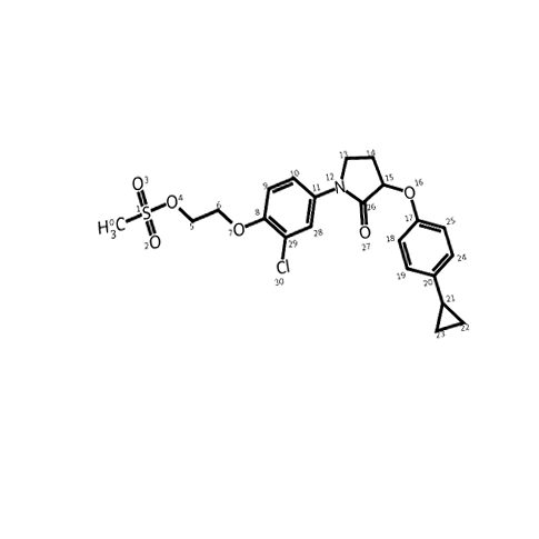 CS(=O)(=O)OCCOc1ccc(N2CCC(Oc3ccc(C4CC4)cc3)C2=O)cc1Cl